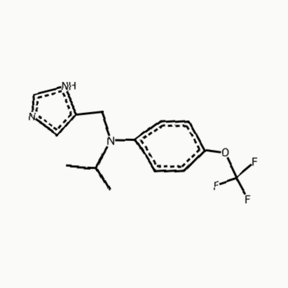 CC(C)N(Cc1cnc[nH]1)c1ccc(OC(F)(F)F)cc1